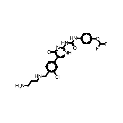 NCCCNCc1ccc(-c2c[nH]c(NC(=O)Nc3ccc(OC(F)F)cc3)nc2=O)cc1Cl